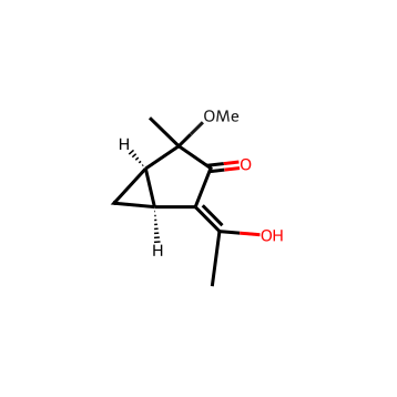 COC1(C)C(=O)/C(=C(/C)O)[C@H]2C[C@H]21